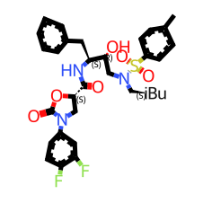 CC[C@H](C)CN(C[C@@H](O)[C@H](Cc1ccccc1)NC(=O)[C@@H]1CN(c2ccc(F)c(F)c2)C(=O)O1)S(=O)(=O)c1ccc(C)cc1